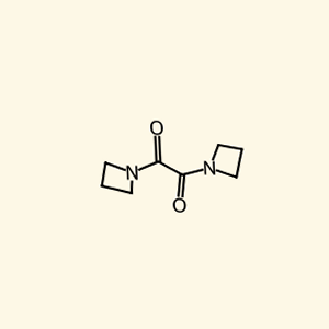 O=C(C(=O)N1CCC1)N1CCC1